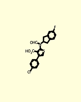 O=CN(c1scc(-c2ccc(Cl)cc2)c1C(=O)O)C1Cc2ccc(F)cc2C1